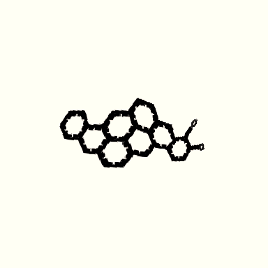 O=c1ccc2c(cc3ccc4cc5c6ccccc6cc6ccc7cc2c3c4c7c65)c1=O